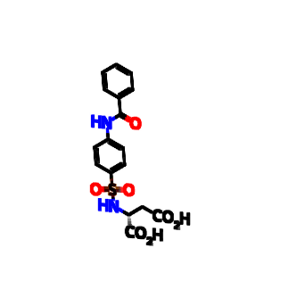 O=C(O)C[C@@H](NS(=O)(=O)c1ccc(NC(=O)c2ccccc2)cc1)C(=O)O